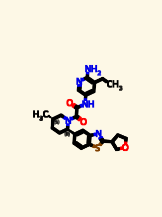 CCc1cc(NC(=O)C(=O)N2C[C@@H](C)CC[C@@H]2c2ccc3sc(C4CCOC4)nc3c2)cnc1N